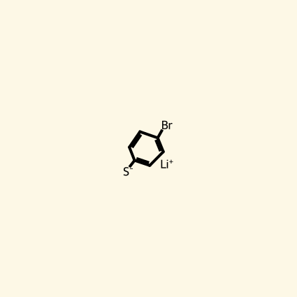 [Li+].[S-]c1ccc(Br)cc1